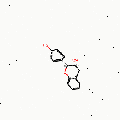 Oc1ccc([C@H]2Oc3ccccc3C[C@H]2O)cc1